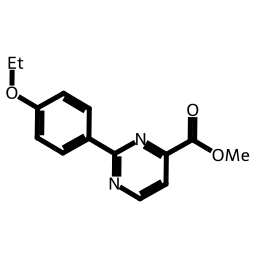 CCOc1ccc(-c2nccc(C(=O)OC)n2)cc1